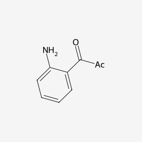 CC(=O)C(=O)c1ccccc1N